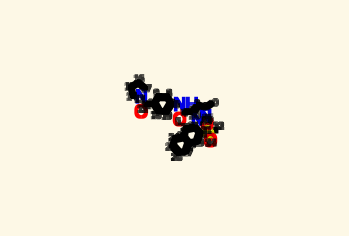 Cc1cc(C(=O)Nc2ccc(C(=O)N3CCCC3)cc2)n(-c2cc3ccccc3cc2S(C)(=O)=O)n1